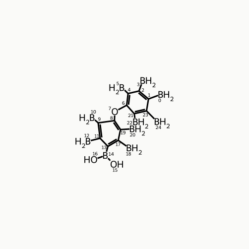 Bc1c(B)c(B)c(Oc2c(B)c(B)c(B(O)O)c(B)c2B)c(B)c1B